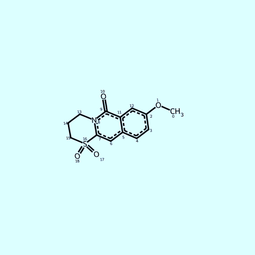 COc1ccc2cc3n(c(=O)c2c1)CCCS3(=O)=O